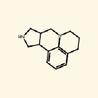 c1cc2c3c(c1)C1CNCC1CN3CCC2